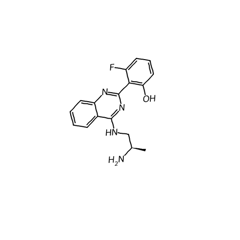 C[C@@H](N)CNc1nc(-c2c(O)cccc2F)nc2ccccc12